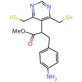 COC(=O)C(Cc1ccc(N)cc1)c1c(CS)ncnc1CS